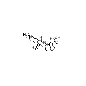 COc1cc2c(cc1Nc1ncc(Cl)c(N3CC(C(=O)NO)c4ccccc43)n1)CN(C)CC2